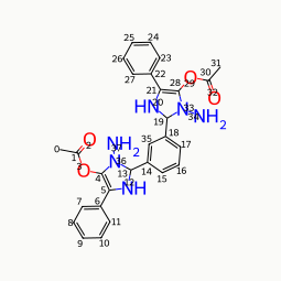 CC(=O)OC1=C(c2ccccc2)NC(c2cccc(C3NC(c4ccccc4)=C(OC(C)=O)N3N)c2)N1N